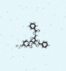 CC1(F)C(OC(=O)c2ccccc2)C(COC(=O)c2ccccc2)OC1n1ccc(N)nc1=O